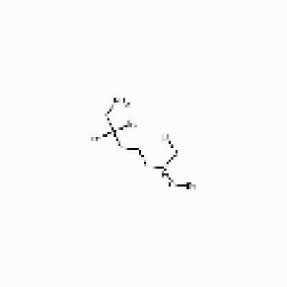 CCO[SiH](CCCC(CC)(CC)CN)OCC